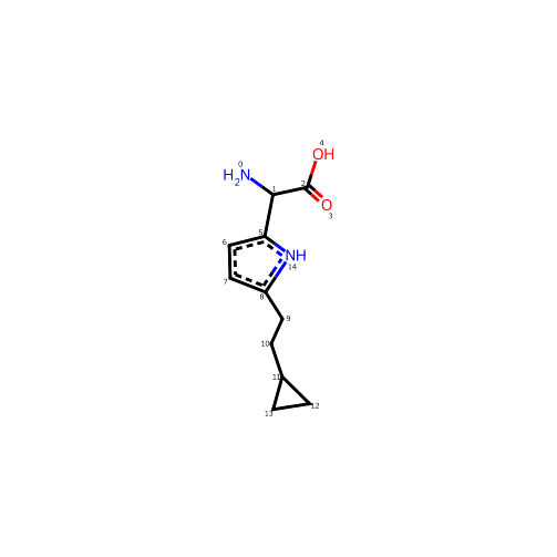 NC(C(=O)O)c1ccc(CCC2CC2)[nH]1